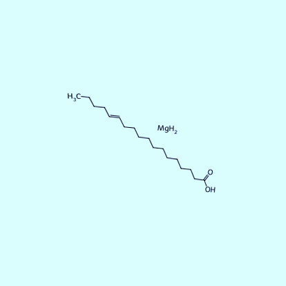 CCCCC=CCCCCCCCCCCCC(=O)O.[MgH2]